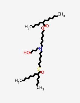 CCCCCCCC(CCCCC)C(=O)OCCCCCCCN(CCCCO)CCCCCCCSC(=O)C(CCCCC)CCCCCCC